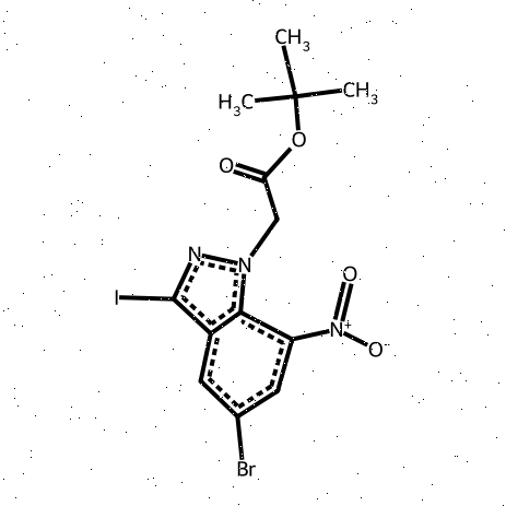 CC(C)(C)OC(=O)Cn1nc(I)c2cc(Br)cc([N+](=O)[O-])c21